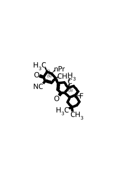 CCC[C@H]1[C@H](C)C(=O)C(C#N)=C[C@]1(C)C1=CC(=O)C2C3CC(C)(C)CC[C@]3(F)CC[C@@]2(C)C1